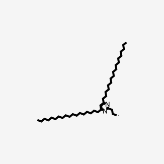 [CH2]CCc1nc(CCCCCCCCCCCCCCCCCC)cc(CCCCCCCCCCCCCCCCCC)n1